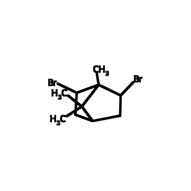 CC1(C)C2CC(Br)C1(C)C(Br)C2